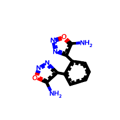 Nc1onnc1-c1ccccc1-c1nnoc1N